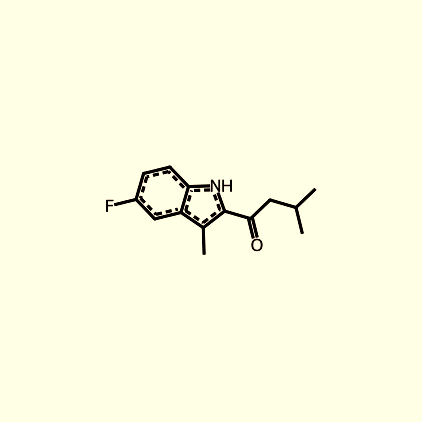 Cc1c(C(=O)CC(C)C)[nH]c2ccc(F)cc12